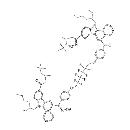 CCCCC(CC)Cn1c2ccc(C(CC(C)CC(C)(C)C)=NO)cc2c2cc(C(=O)c3ccc(OCC(F)(F)C(F)(F)C(F)(F)C(F)(F)COc4ccc(C(=NO)c5cc6c7cc(C(=O)CC(C)CC(C)(C)C)ccc7n(CC(CC)CCCC)c6c6ccccc56)cc4)cc3)c3ccccc3c21